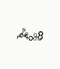 N#C[C@@H]1C[C@H](F)CN1C(=O)CN1CCC(OC(=O)c2nccc3ccccc23)CC1